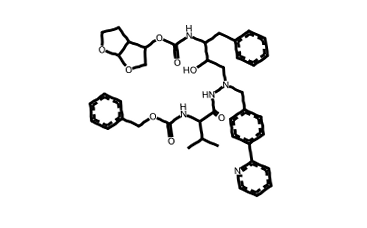 CC(C)C(NC(=O)OCc1ccccc1)C(=O)NN(Cc1ccc(-c2ccccn2)cc1)CC(O)C(Cc1ccccc1)NC(=O)OC1COC2OCCC12